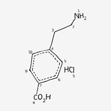 Cl.NCCc1ccc(C(=O)O)cc1